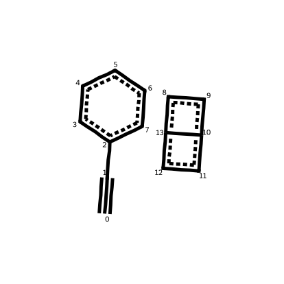 C#Cc1ccccc1.c1cc2ccc1-2